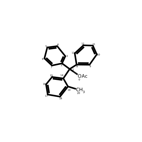 CC(=O)OC(c1ccccc1)(c1ccccc1)c1ccccc1C